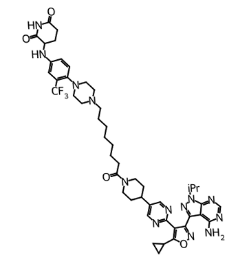 CC(C)n1nc(-c2noc(C3CC3)c2-c2ncc(C3CCN(C(=O)CCCCCCCN4CCN(c5ccc(NC6CCC(=O)NC6=O)cc5C(F)(F)F)CC4)CC3)cn2)c2c(N)ncnc21